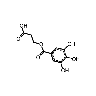 O=C(O)CCOC(=O)c1cc(O)c(O)c(O)c1